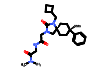 CN[C@]1(c2ccccc2)CC[C@@]2(CC1)CN(CC(=O)NCC(=O)N(C)C)C(=O)N2CC1CCC1